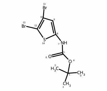 CC(C)(C)OC(=O)Nc1cc(Br)c(Br)s1